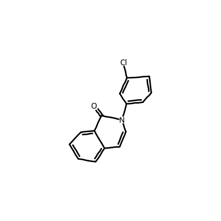 O=c1c2ccccc2ccn1-c1cccc(Cl)c1